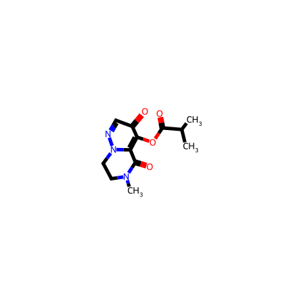 CC(C)C(=O)Oc1c2n(ncc1=O)CCN(C)C2=O